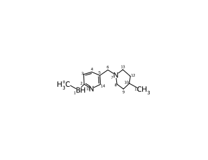 CBc1ccc(CN2CCC(C)CC2)cn1